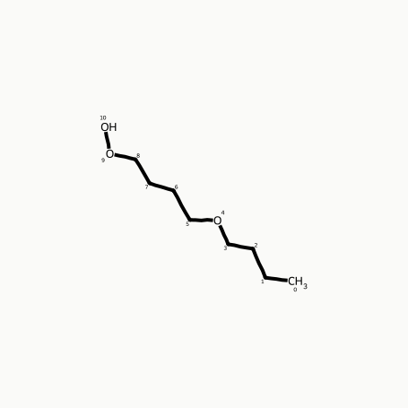 CCCCOCCCCOO